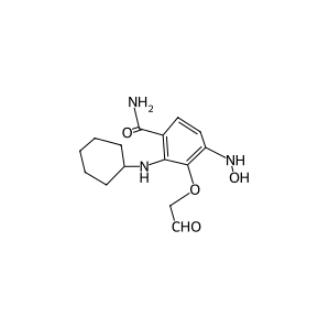 NC(=O)c1ccc(NO)c(OCC=O)c1NC1CCCCC1